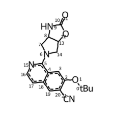 CC(C)(C)Oc1cc2c(N3CC4NC(=O)OC4C3)nccc2cc1C#N